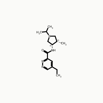 CCc1cnnc(C(=O)N[C@@H]2CN(C(C)C)C[C@@H]2C)c1